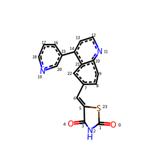 O=C1NC(=O)/C(=C/c2ccc3nccc(-c4cccnc4)c3c2)S1